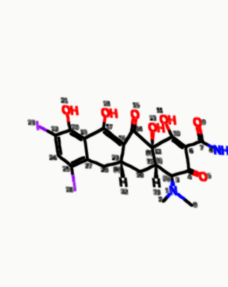 CN(C)[C@@H]1C(=O)C(C(N)=O)=C(O)[C@@]2(O)C(=O)C3=C(O)c4c(O)c(I)cc(I)c4C[C@H]3C[C@@H]12